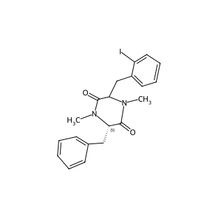 CN1C(=O)[C@H](Cc2ccccc2)N(C)C(=O)C1Cc1ccccc1I